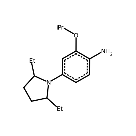 CCC1CCC(CC)N1c1ccc(N)c(OC(C)C)c1